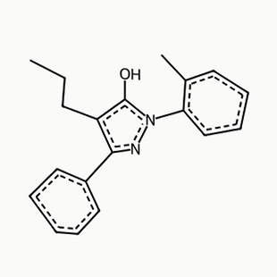 CCCc1c(-c2ccccc2)nn(-c2ccccc2C)c1O